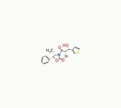 C[C@H]1[C@@H](c2ccccc2)OC(=O)N1C(=O)[C@@H](Br)[C@H](O)c1ccsc1